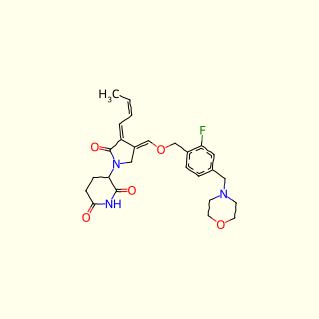 C\C=C/C=C1/C(=O)N(C2CCC(=O)NC2=O)C/C1=C\OCc1ccc(CN2CCOCC2)cc1F